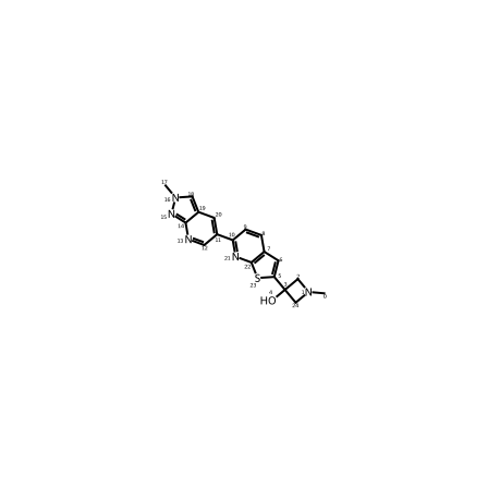 CN1CC(O)(c2cc3ccc(-c4cnc5nn(C)cc5c4)nc3s2)C1